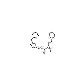 CC1(C)C(/C=C/c2ccccc2)C1C(=O)OCc1coc(Cc2ccccc2)c1